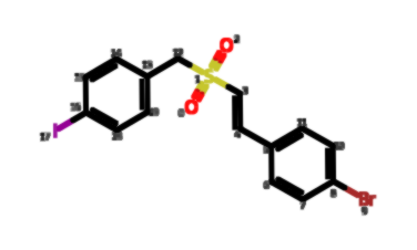 O=S(=O)(C=Cc1ccc(Br)cc1)Cc1ccc(I)cc1